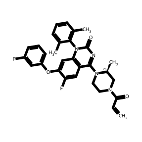 C=CC(=O)N1CCN(c2nc(=O)n(-c3c(C)cccc3C)c3cc(Oc4cccc(F)c4)c(F)cc23)[C@@H](C)C1